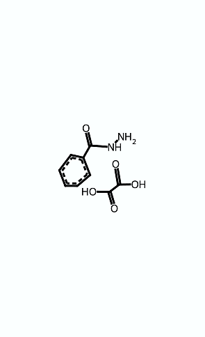 NNC(=O)c1ccccc1.O=C(O)C(=O)O